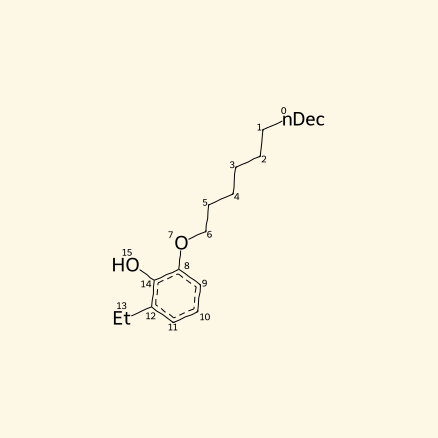 CCCCCCCCCCCCCCCCOc1cccc(CC)c1O